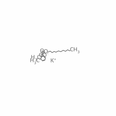 CCCCCCCCCCCCOP(=O)([O-])OC1(C)C=CC=CC1C.[K+]